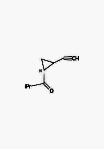 C#CC1C[C@H]1C(=O)C(C)C